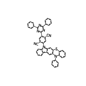 N#Cc1cc(-n2c3ccccc3c3cc4c(cc32)Sc2ccccc2N4c2ccccc2)c(C#N)cc1-c1nc(-c2ccccc2)nc(-c2ccccc2)n1